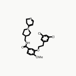 COc1ccc(C(=O)NCC2CCN(C3=CC=NCC3)CC2)cc1OCCc1cc(Cl)cc(Cl)c1